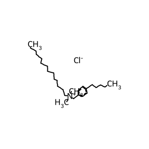 CCCCCCCCCCCCCC[N+](C)(C)Cc1ccc(CCCCC)cc1.[Cl-]